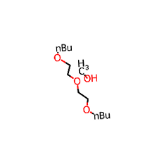 CCCCOCCOCCOCCCC.CO